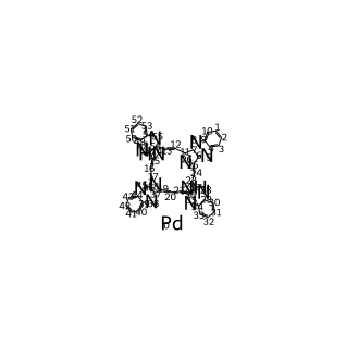 [Pd].c1ccc2nc3c(nc2c1)-c1cc2[nH]c(cc4nc(cc5[nH]c(cc-3n1)c1nc3ccccc3nc51)-c1nc3ccccc3nc1-4)c1nc3ccccc3nc21